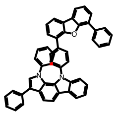 c1ccc(-c2cn(-c3ccccc3)c3c2ccc2c4ccccc4n(-c4ccc(-c5cccc6c5oc5c(-c7ccccc7)cccc56)cc4)c23)cc1